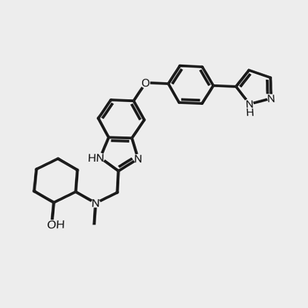 CN(Cc1nc2cc(Oc3ccc(-c4ccn[nH]4)cc3)ccc2[nH]1)C1CCCCC1O